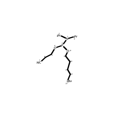 CC(C)N(C(C)C)P(OCCC#N)OCCCCC(C)(C)C